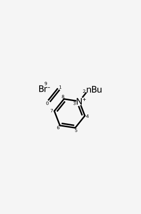 C=C.CCCC[n+]1ccccc1.[Br-]